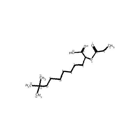 CCC(=O)OC(CCCCCCCC(C)(C)C)C(=O)O